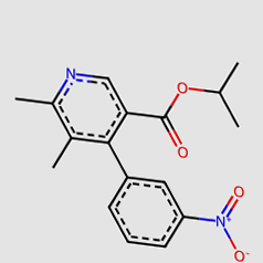 Cc1ncc(C(=O)OC(C)C)c(-c2cccc([N+](=O)[O-])c2)c1C